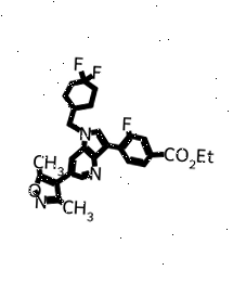 CCOC(=O)c1ccc(-c2cn(CC3CCC(F)(F)CC3)c3cc(-c4c(C)noc4C)cnc23)c(F)c1